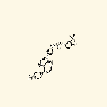 O=C(Nc1ccc(-n2cnc3c(N4CCNCC4)ncnc32)cc1)Nc1ccc(Cl)c(C(F)(F)F)c1